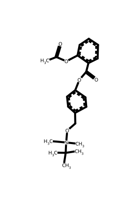 CC(=O)Oc1ccccc1C(=O)Oc1ccc(CO[Si](C)(C)C(C)(C)C)cc1